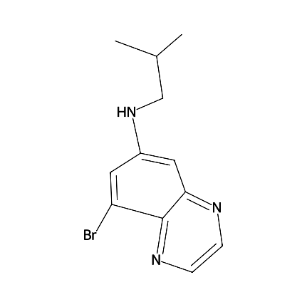 CC(C)CNc1cc(Br)c2nccnc2c1